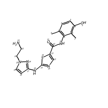 Cc1ccc(O)c(C)c1NC(=O)c1cnc(Nc2ccn(CCN)n2)s1